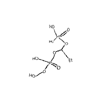 CCC(OP(=O)(O)O)OP(=O)(O)OO